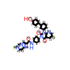 O=C(NC1CCC(n2c(=O)c3cc(F)cnc3n(-c3cccc(-c4ccc(O)cc4)c3)c2=O)CC1)C1=C[N+]2CN(F)C=CC2=N1